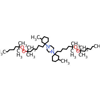 CCCCCC(C)(C)OOC(C)(C)CCCCCC1(N2CCN(C3(CCCCCC(C)(C)OOC(C)(C)CCCCC)CCCC(C)C3)CC2)CCCC(C)C1